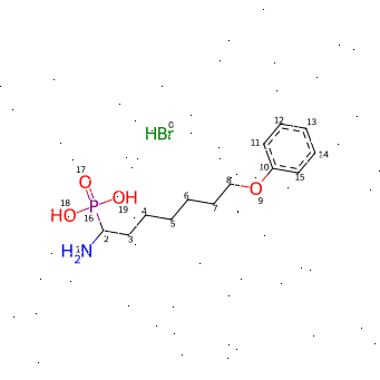 Br.NC(CCCCCCOc1ccccc1)P(=O)(O)O